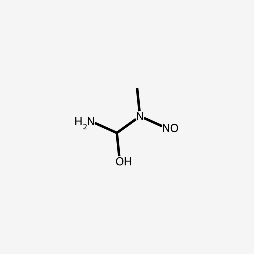 CN(N=O)C(N)O